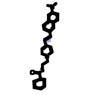 CN(C)c1ccc2cc(/C=C/C3=CCN(CCSC(=O)c4ccccc4)C=C3)ccc2c1